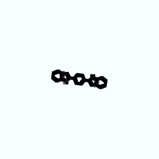 c1ccn2cc(-c3ccc(-c4cn5ccccc5n4)cc3)nc2c1